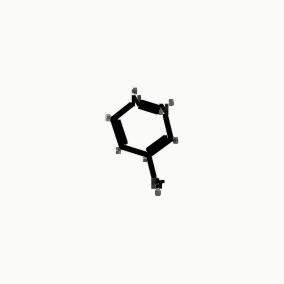 Brc1c[c]nnc1